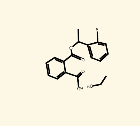 CC(OC(=O)c1ccccc1C(=O)O)c1ccccc1F.CCO